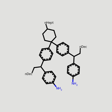 CCCCCCCCCCCC(c1ccc(N)cc1)c1ccc(C2(c3ccc(C(CCCCCCCCCCC)c4ccc(N)cc4)cc3)CCC(CCCCCCC)CC2)cc1